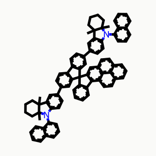 CC12CCCCC1(C)N(c1cccc3ccccc13)c1ccc(-c3ccc4c(c3)C3(c5cc(-c6ccc7c(c6)C6(C)CCCCC6(C)N7c6cccc7ccccc67)ccc5-4)c4ccccc4-c4c3cc3ccc5cccc6ccc4c3c56)cc12